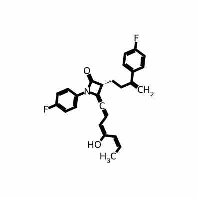 C=C(CC[C@H]1C(=O)N(c2ccc(F)cc2)C1=C=C/C=C(O)\C=C/C)c1ccc(F)cc1